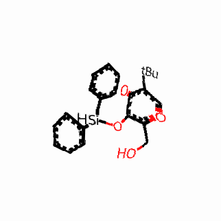 CC(C)(C)c1coc(CO)c(O[SiH](c2ccccc2)c2ccccc2)c1=O